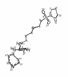 N=C(NCCCCCCS(=O)(=O)N1CCCO1)Nc1ccncc1